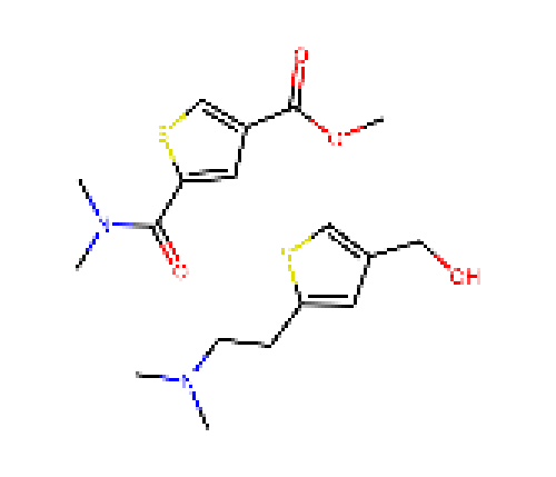 CN(C)CCc1cc(CO)cs1.COC(=O)c1csc(C(=O)N(C)C)c1